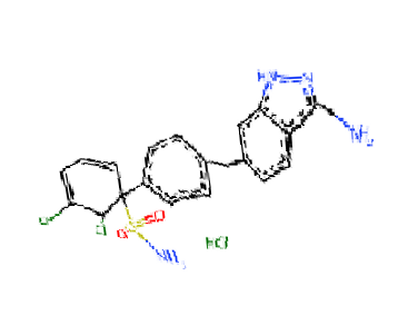 Cl.Nc1n[nH]c2cc(-c3ccc(C4(S(N)(=O)=O)C=CC=C(Cl)C4Cl)cc3)ccc12